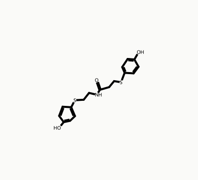 O=C(CCSc1ccc(O)cc1)NCCSc1ccc(O)cc1